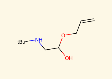 C=CCOC(O)CNC(C)(C)C